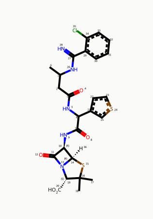 CC(CC(=O)NC(C(=O)N[C@@H]1C(=O)N2[C@@H]1SC(C)(C)[C@@H]2C(=O)O)c1ccsc1)NC(=N)c1ccccc1Cl